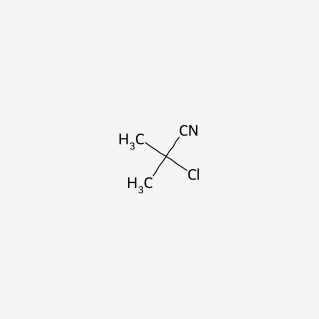 CC(C)(Cl)C#N